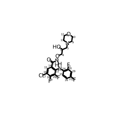 O=C(NOCC(O)CN1CCOCC1)c1cc(Cl)c(F)c(F)c1Nc1ccc(F)cc1F